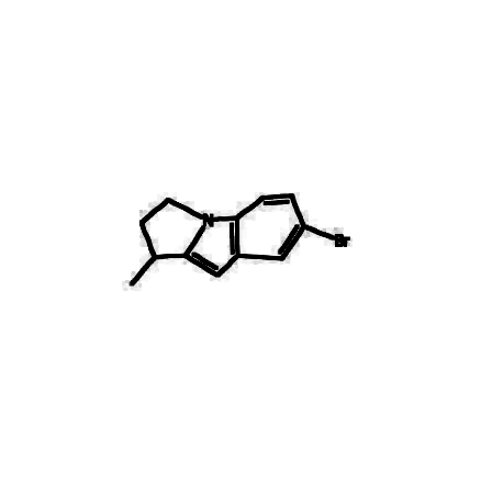 CC1CCn2c1cc1cc(Br)ccc12